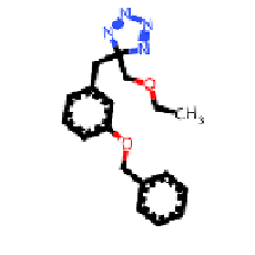 CCOCC1(Cc2cccc(OCc3ccccc3)c2)N=NN=N1